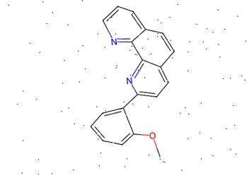 COc1ccccc1-c1ccc2ccc3cccnc3c2n1